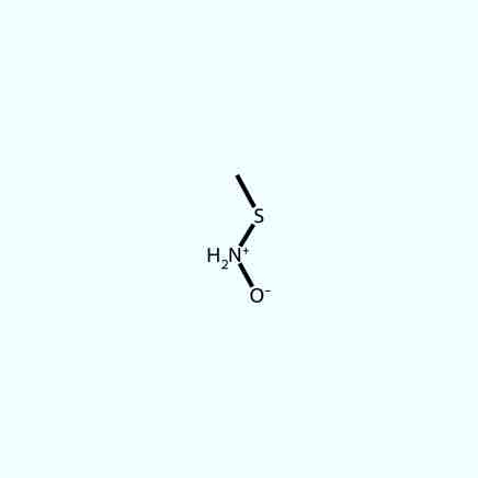 CS[NH2+][O-]